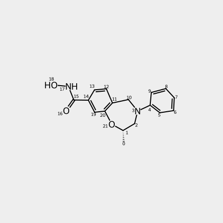 C[C@H]1CN(c2ccccc2)Cc2ccc(C(=O)NO)cc2O1